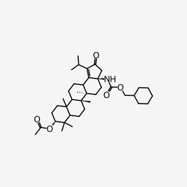 CC(=O)O[C@H]1CCC2(C)C(CC[C@]3(C)C2CCC2C4=C(C(C)C)C(=O)C[C@]4(NC(=O)OCC4CCCCC4)CC[C@]23C)C1(C)C